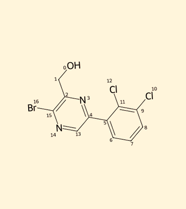 OCc1nc(-c2cccc(Cl)c2Cl)cnc1Br